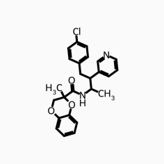 CC(NC(=O)C1(C)COc2ccccc2O1)C(Cc1ccc(Cl)cc1)c1cccnc1